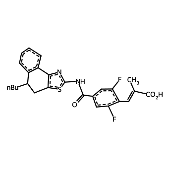 CCCCC1Cc2sc(NC(=O)c3cc(F)c(C=C(C)C(=O)O)c(F)c3)nc2-c2ccccc21